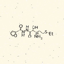 CCSCC[C@@H](N)C(O)C(=O)NNC(=O)c1ccco1